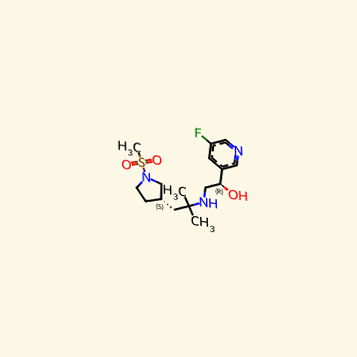 CC(C)(C[C@@H]1CCN(S(C)(=O)=O)C1)NC[C@H](O)c1cncc(F)c1